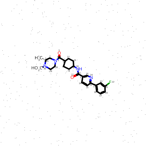 C[C@@H]1CN(C(=O)C2CCC(NC(=O)c3ccc(-c4cccc(F)c4)nc3)CC2)CCN1C(=O)O